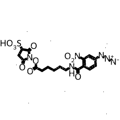 [N-]=[N+]=Nc1ccc(C(=O)NCCCCCC(=O)ON2C(=O)CC(S(=O)(=O)O)C2=O)c([N+](=O)[O-])c1